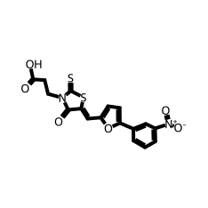 O=C(O)CCN1C(=O)C(=Cc2ccc(-c3cccc([N+](=O)[O-])c3)o2)SC1=S